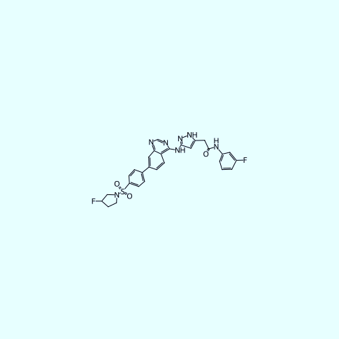 O=C(Cc1cc(Nc2ncnc3cc(-c4ccc(S(=O)(=O)N5CCC(F)C5)cc4)ccc23)n[nH]1)Nc1cccc(F)c1